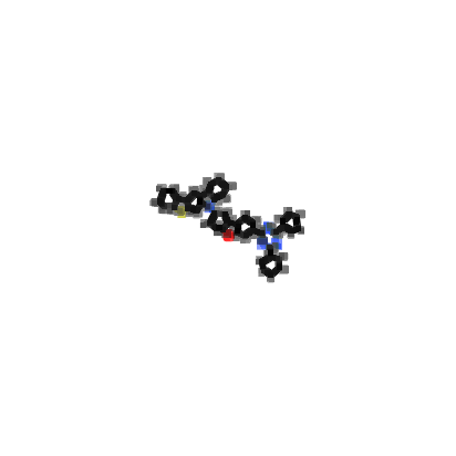 c1ccc(-c2nc(-c3ccccc3)nc(-c3ccc4c(c3)oc3ccc(-n5c6ccccc6c6cc7c(cc65)sc5ccccc57)cc34)n2)cc1